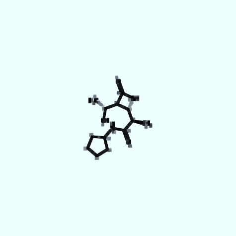 C[C@@H](O)C1C(=O)N[C@@H]1[C@@H](C)C(=O)NC1CCCC1